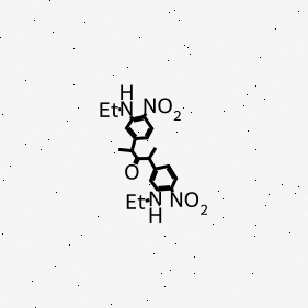 CCNc1cc(C(C)C(=O)C(C)c2ccc([N+](=O)[O-])c(NCC)c2)ccc1[N+](=O)[O-]